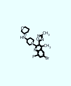 Cc1noc(-c2c(N3CCC(N[C@H]4CCCOC4)CC3)nc3c(F)cc(Br)cc3c2C)n1